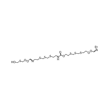 CC/N=C\OOCCSCSCSCCOC(=O)NCCSCSCSCC/N=C/OOCSCO